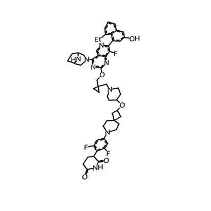 CCc1cccc2cc(O)cc(-c3ncc4c(N5CC6CCC(C5)N6)nc(OCC5(CN6CCC(OC7CC8(CCN(c9cc(F)c(C%10CCC(=O)NC%10=O)c(F)c9)CC8)C7)CC6)CC5)nc4c3F)c12